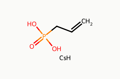 C=CCP(=O)(O)O.[CsH]